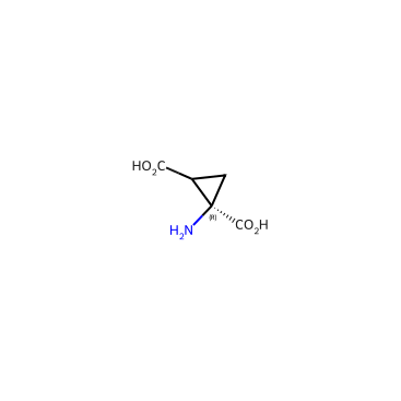 N[C@]1(C(=O)O)CC1C(=O)O